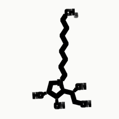 CCCCCCCCCN1C[C@@H](O)[C@@H](O)[C@@H]1[C@H](O)CO